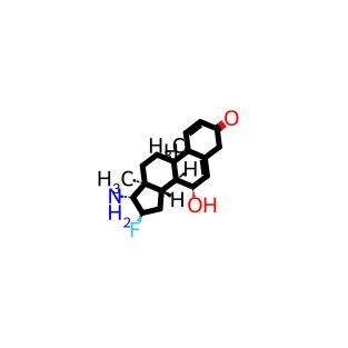 C[C@]12CC[C@H]3[C@@H]([C@@H](O)C=C4CC(=O)C=C[C@@]43C)[C@@H]1C[C@@H](F)[C@@H]2N